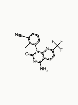 Cc1c(C#N)cccc1-n1c(=O)nc(N)c2ccc(C(F)(F)F)nc21